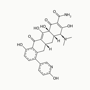 CN(C)[C@@H]1C(O)=C(C(N)=O)C(=O)[C@@]2(O)C(O)=C3C(=O)c4c(O)ccc(-c5ccc(O)nc5)c4C[C@H]3C[C@@H]12